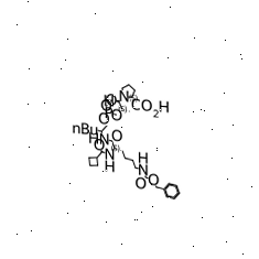 CCCCC(CO[PH](=O)O[C@@H](C)C(=O)N1CCC[C@H]1C(=O)O)NC(=O)[C@H](CCCCNC(=O)OCc1ccccc1)NC(=O)C1CCC1